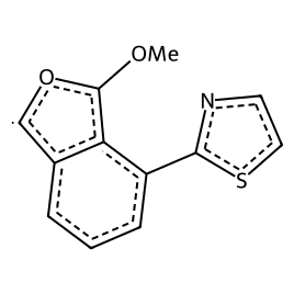 COc1o[c]c2cccc(-c3nccs3)c12